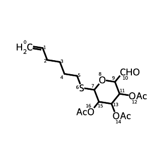 C=CCCCCSC1OC(C=O)C(OC(C)=O)C(OC(C)=O)C1OC(C)=O